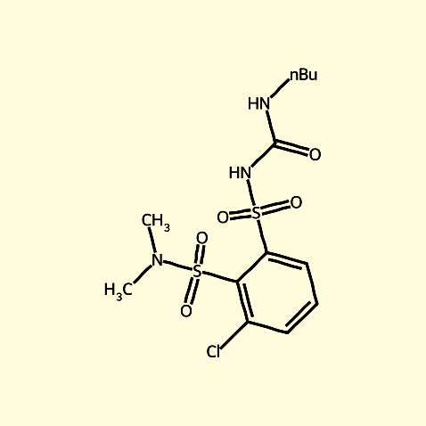 CCCCNC(=O)NS(=O)(=O)c1cccc(Cl)c1S(=O)(=O)N(C)C